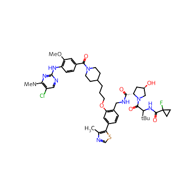 CNc1nc(Nc2ccc(C(=O)N3CCC(CCCOc4cc(-c5scnc5C)ccc4CNC(=O)[C@@H]4C[C@@H](O)CN4C(=O)C(NC(=O)C4(F)CC4)C(C)(C)C)CC3)cc2OC)ncc1Cl